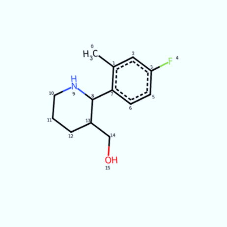 Cc1cc(F)ccc1C1NCCCC1CO